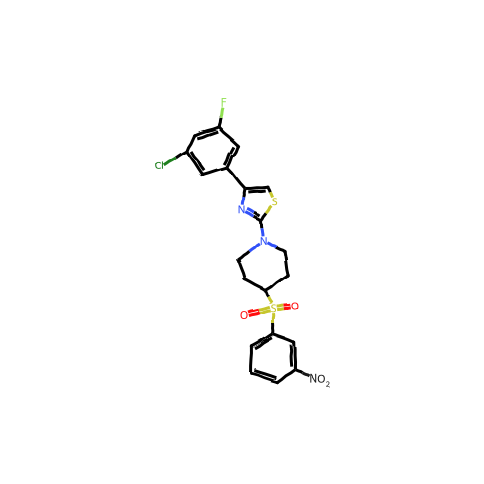 O=[N+]([O-])c1cccc(S(=O)(=O)C2CCN(c3nc(-c4cc(F)cc(Cl)c4)cs3)CC2)c1